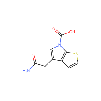 NC(=O)Cc1cn(C(=O)O)c2sccc12